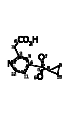 O=C(O)Cc1cc(S(=O)(=O)C2CC2)ccn1